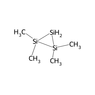 C[Si]1(C)[SiH2][Si]1(C)C